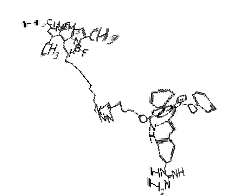 CC1=CC(C)=[N+](C)/C1=C(/CCCCCCCn1cc(CCCOC(=O)NC(Cc2ccc(NC(=N)N)cc2)P(=O)(Oc2ccccc2)Oc2ccccc2)nn1)c1c(C)cc(C)n1B(F)F